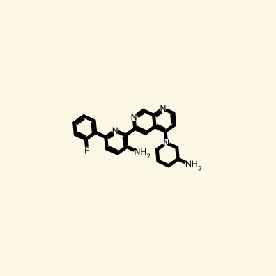 Nc1ccc(-c2ccccc2F)nc1-c1cc2c(N3CCCC(N)C3)ccnc2cn1